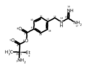 CC[C@](C)(N)C(=O)OC(=O)c1ccc(CNC(=N)N)cc1